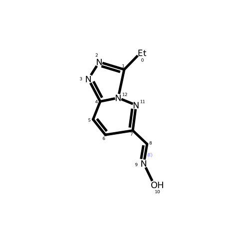 CCc1nnc2ccc(/C=N/O)nn12